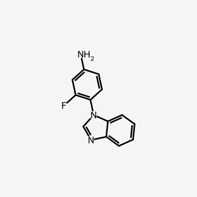 Nc1ccc(-n2cnc3ccccc32)c(F)c1